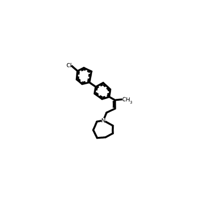 CC(=CCN1CCCCCC1)c1ccc(-c2ccc(Cl)cc2)cc1